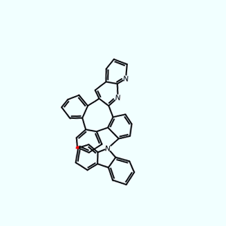 c1ccc2c(c1)-c1ccccc1-c1c(cccc1-n1c3ccccc3c3ccccc31)-c1nc3ncccc3cc1-2